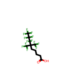 O=C(O)CCCCC(C(F)(F)F)(C(F)(F)F)C(F)(F)C(F)(F)C(F)(F)F